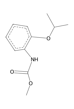 COC(=O)Nc1ccccc1OC(C)C